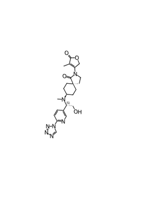 CC1=C(N2CC[C@]3(CC[C@H](N(C)[C@H](CO)c4ccc(-n5cnnn5)nc4)CC3)C2=O)COC1=O